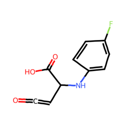 O=C=CC(Nc1ccc(F)cc1)C(=O)O